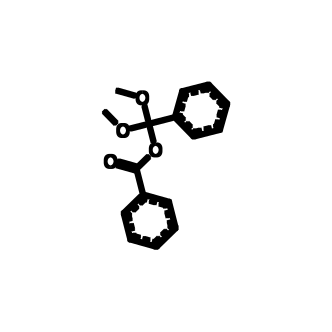 COC(OC)(OC(=O)c1ccccc1)c1ccccc1